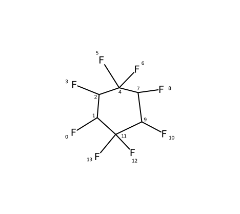 FC1C(F)C(F)(F)C(F)C(F)C1(F)F